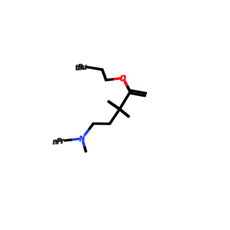 C=C(OCCC(C)(C)C)C(C)(C)CCN(C)CCC